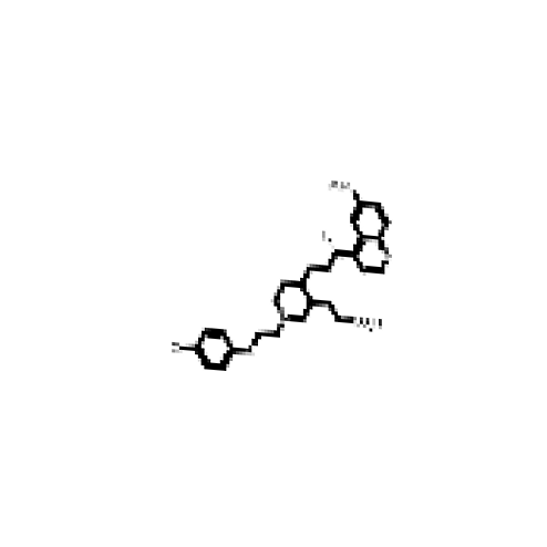 COc1ccc2nccc([C@@H](F)CCC3CCN(CCSc4ccc(Cl)cc4)CC3CCC(=O)O)c2c1